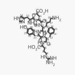 N=C(N)NCCC[C@H](NC(=O)[C@@H](Cc1ccccc1)NC(=O)[C@H](Cc1ccc(O)cc1)NC(=O)[C@H](CCCCN)NC(=O)[C@H](CCC(=O)O)NC(=O)[C@H](N)Cc1c[nH]cn1)C(=O)O